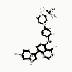 CC(C)(O)[C@@H]1CN(c2ccc(Nc3ccc(-c4cnc5cc(F)ccn45)c4cc[nH]c(=O)c34)nc2)CCO1